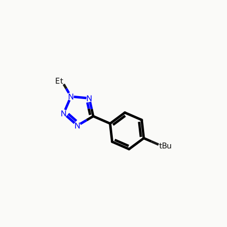 CCn1nnc(-c2ccc(C(C)(C)C)cc2)n1